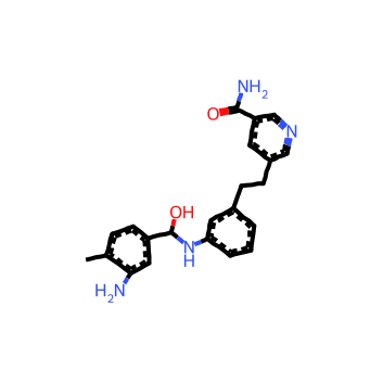 Cc1ccc(C(O)Nc2cccc(CCc3cncc(C(N)=O)c3)c2)cc1N